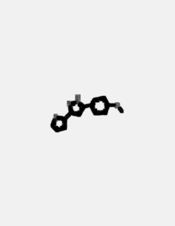 COc1ccc(-c2cc(-c3cccs3)n[nH]2)cc1